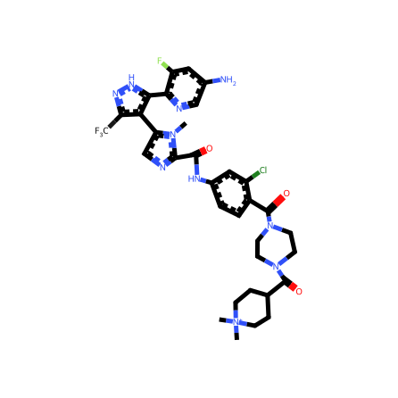 Cn1c(-c2c(C(F)(F)F)n[nH]c2-c2ncc(N)cc2F)cnc1C(=O)Nc1ccc(C(=O)N2CCN(C(=O)C3CC[N+](C)(C)CC3)CC2)c(Cl)c1